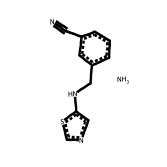 N.N#Cc1cccc(CNc2cncs2)c1